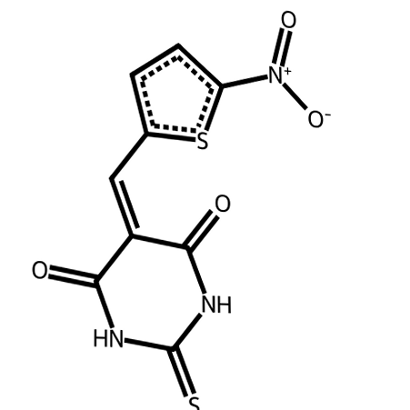 O=C1NC(=S)NC(=O)C1=Cc1ccc([N+](=O)[O-])s1